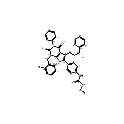 CONC(=O)Nc1ccc(-c2sc3c(c2CN[C@@H](C)c2ccccc2)c(=O)n(-c2ccccc2)c(=O)n3Cc2c(F)cccc2F)cc1